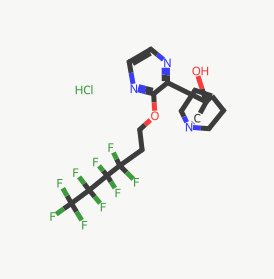 Cl.OC1(c2nccnc2OCCC(F)(F)C(F)(F)C(F)(F)C(F)(F)F)CN2CCC1CC2